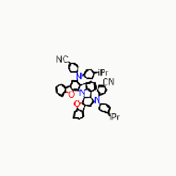 CC(C)C1=CCC(N(C2=Cc3c(oc4ccccc34)C3C2c2cccc4c5c(N(c6ccc(C#N)cc6)c6ccc(C(C)C)cc6)cc6c7ccccc7oc6c5n3c24)c2ccc(C#N)cc2)C=C1